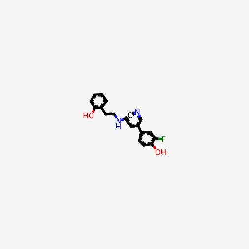 Oc1ccc(-c2cncc(NCCc3ccccc3O)c2)cc1F